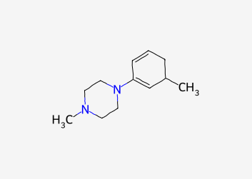 CC1C=C(N2CCN(C)CC2)C=CC1